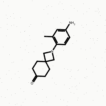 Cc1cc(N)ccc1N1CC2(CCC(=O)CC2)C1